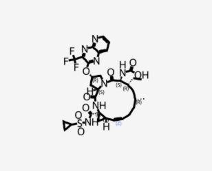 CC[C@@H]1C[C@H](C)CC/C=C\[C@@H]2C[C@@]2(C(=O)NS(=O)(=O)C2CC2)NC(=O)[C@@H]2C[C@@H](Oc3nc4cccnc4nc3C(F)(F)F)CN2C(=O)[C@H]1NC(=O)O